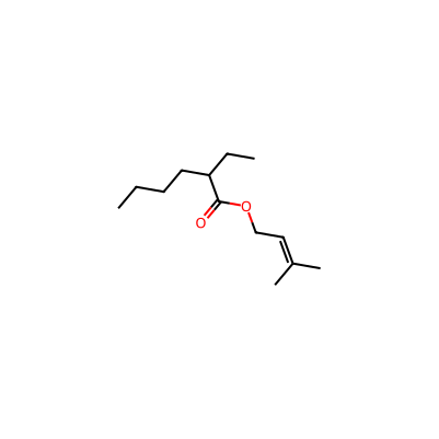 CCCCC(CC)C(=O)OCC=C(C)C